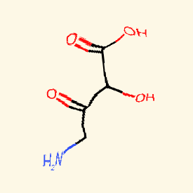 NCC(=O)C(O)C(=O)O